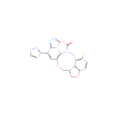 O=C(O)N1Cc2c(F)ccc3c2[C@@H](CO3)COc2cc(-c3cc[nH]n3)c3nncn3c21